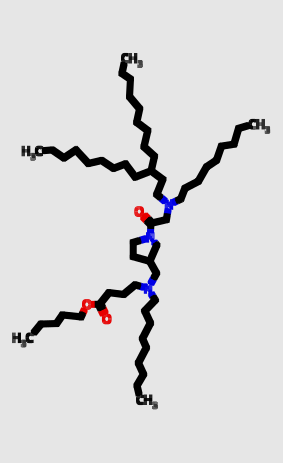 CCCCCCCCCC(CCCCCCCCC)CCN(CCCCCCCCC)CC(=O)N1CCC(CN(CCCCCCCCC)CCCC(=O)OCCCCC)C1